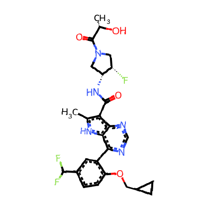 Cc1[nH]c2c(-c3cc(C(F)F)ccc3OCC3CC3)ncnc2c1C(=O)N[C@@H]1CN(C(=O)[C@H](C)O)C[C@@H]1F